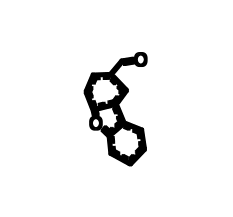 O=Cc1ccc2oc3ccccc3c2c1